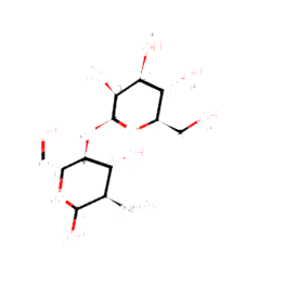 CC(=O)N[C@H]1C(O)O[C@H](CO)[C@@H](O[C@@H]2O[C@H](CO)[C@@H](O)[C@H](O)[C@@H]2O)[C@@H]1O